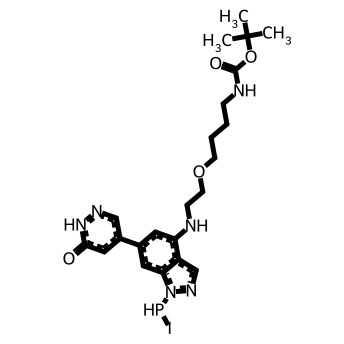 CC(C)(C)OC(=O)NCCCCOCCNc1cc(-c2cn[nH]c(=O)c2)cc2c1cnn2PI